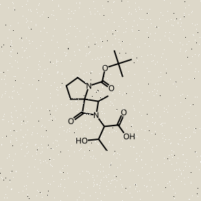 CC(O)C(C(=O)O)N1C(=O)C2(CCCN2C(=O)OC(C)(C)C)C1C